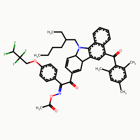 CCCCC(CC)CN1c2c(cc(C(=O)c3c(C)cc(C)cc3C)c3ccccc23)C2C=C(C(=O)/C(=N/OC(C)=O)c3ccc(OCC(F)(F)C(F)F)cc3)C=CC21